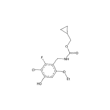 CCOc1cc(O)c(Cl)c(F)c1CNC(=O)OCC1CC1